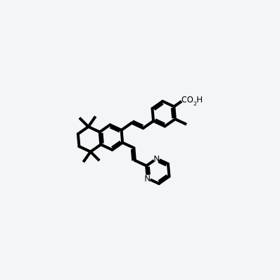 Cc1cc(C=Cc2cc3c(cc2C=Cc2ncccn2)C(C)(C)CCC3(C)C)ccc1C(=O)O